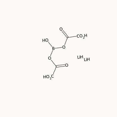 O=C(O)C(=O)OB(O)OC(=O)C(=O)O.[LiH].[LiH]